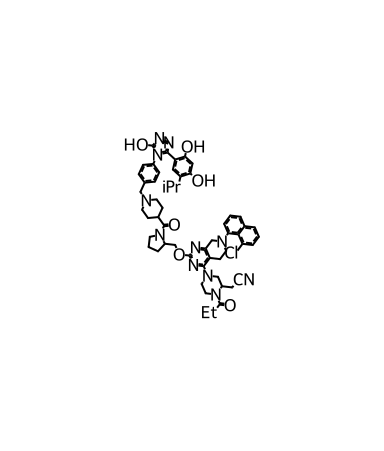 CCC(=O)N1CCN(c2nc(OCC3CCCN3C(=O)C3CCN(Cc4ccc(-n5c(O)nnc5-c5cc(C(C)C)c(O)cc5O)cc4)CC3)nc3c2CCN(c2cccc4cccc(Cl)c24)C3)CC1CC#N